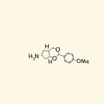 COc1ccc(C2OC[C@@H]3C[C@@H](N)C[C@@H]3O2)cc1